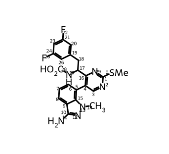 CSc1ncc(-c2cccc3c(N)nn(C)c23)c(C(Cc2cc(F)cc(F)c2)NC(=O)O)n1